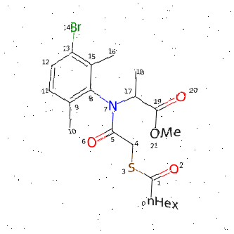 CCCCCCC(=O)SCC(=O)N(c1c(C)ccc(Br)c1C)C(C)C(=O)OC